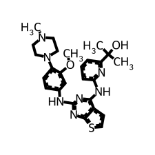 COc1cc(Nc2nc(Nc3cccc(C(C)(C)O)n3)c3ccsc3n2)ccc1N1CCN(C)CC1